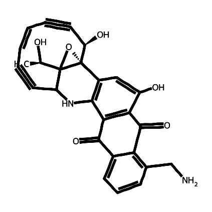 C[C@@H](O)C12O[C@]13c1cc(O)c4c(c1NC2C#C/C=C\C#C[C@H]3O)C(=O)c1cccc(CN)c1C4=O